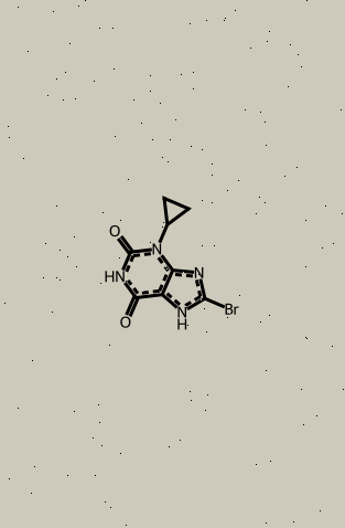 O=c1[nH]c(=O)n(C2CC2)c2nc(Br)[nH]c12